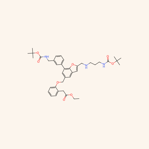 CCOC(=O)Cc1ccccc1OCc1cc(-c2cccc(CNC(=O)OC(C)(C)C)c2)c2oc(CNCCCNC(=O)OC(C)(C)C)cc2c1